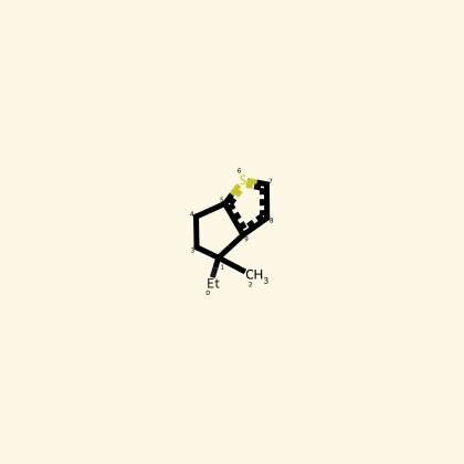 CCC1(C)CCc2sccc21